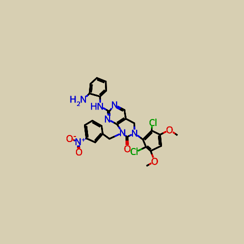 COc1cc(OC)c(Cl)c(N2Cc3cnc(Nc4ccccc4N)nc3N(Cc3cccc([N+](=O)[O-])c3)C2=O)c1Cl